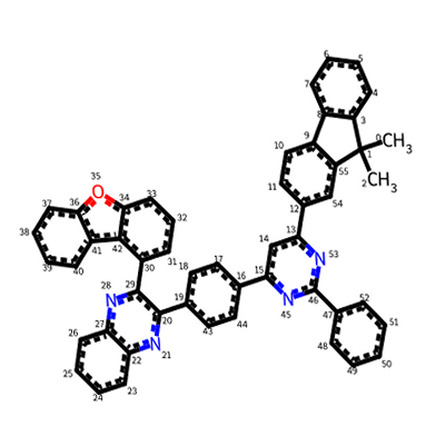 CC1(C)c2ccccc2-c2ccc(-c3cc(-c4ccc(-c5nc6ccccc6nc5-c5cccc6oc7ccccc7c56)cc4)nc(-c4ccccc4)n3)cc21